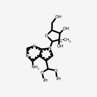 CC(C)OC(OC(C)C)c1cn(C2OC(CO)C(O)[C@@]2(C)O)c2ncnc(N)c12